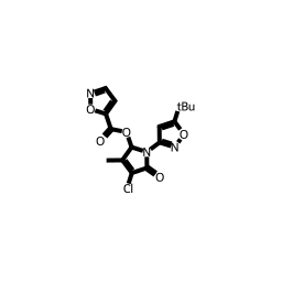 CC1=C(Cl)C(=O)N(c2cc(C(C)(C)C)on2)C1OC(=O)c1ccno1